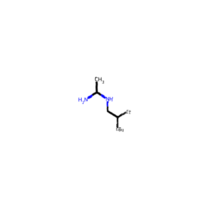 CCCCC(CC)CNC(C)N